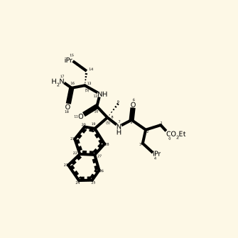 CCOC(=O)CC(CC(C)C)C(=O)N[C@](C)(C(=O)N[C@@H](CC(C)C)C(N)=O)c1ccc2ccccc2c1